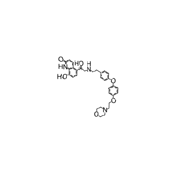 O=c1ccc2c([C@@H](O)CNCCc3ccc(Oc4ccc(OCCN5CCOCC5)cc4)cc3)ccc(O)c2[nH]1